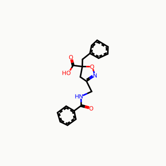 O=C(NCC1=NOC(Cc2ccccc2)(C(=O)O)C1)c1ccccc1